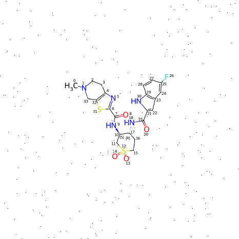 CN1CCc2nc(C(=O)N[C@@H]3CS(=O)(=O)CC[C@H]3NC(=O)c3cc4cc(F)ccc4[nH]3)sc2C1